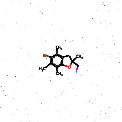 Cc1c(C)c2c(c(C)c1Br)CC(C)(CI)O2